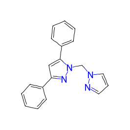 c1ccc(-c2cc(-c3ccccc3)n(Cn3cccn3)n2)cc1